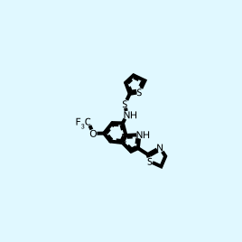 FC(F)(F)Oc1cc(NSc2cccs2)c2[nH]c(C3=NCCS3)cc2c1